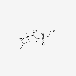 C=CCS(=O)(=O)NC(=O)C1(C)CC(C)O1